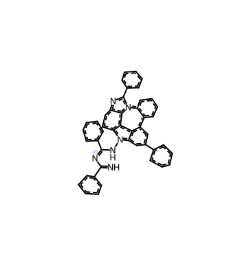 N=C(/N=C(\Nn1c2cc(-c3ccccc3)cc3c4ccccc4n4c(-c5ccccc5)nc5ccc1c(c32)c54)c1ccccc1)c1ccccc1